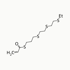 C=CC(=O)SCCCSCCSCCSCC